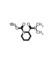 CN(C)C(=O)[C@H]1CCCCN1C(=O)OC(C)(C)C